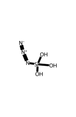 [N-]=[N+]=N[Si](O)(O)O